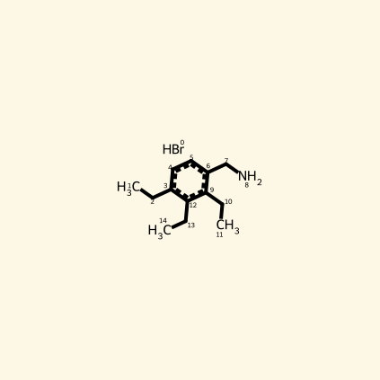 Br.CCc1ccc(CN)c(CC)c1CC